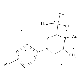 CC(=O)N1C(C)CN(c2ccc(C(C)C)cc2)CC1C(C)(C)O